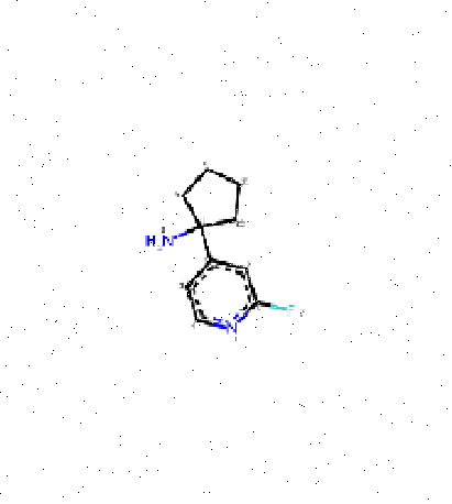 NC1(c2ccnc(F)c2)CCCC1